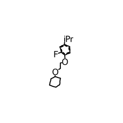 CC(C)c1ccc(OCCOC2CCCCC2)c(F)c1